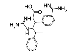 CC(c1ccccc1)C(NC(=N)N)C(CC(=O)O)c1cccc(C(=N)N)c1